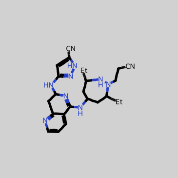 CCC1CC(NC2=NC(Nc3cc(C#N)[nH]n3)Cc3ncccc32)CC(CC)N(CCC#N)N1